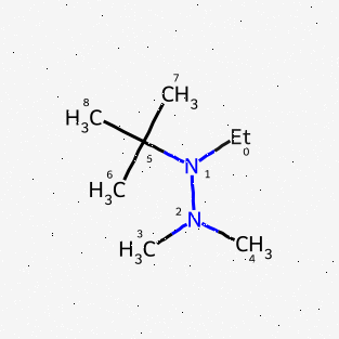 CCN(N(C)C)C(C)(C)C